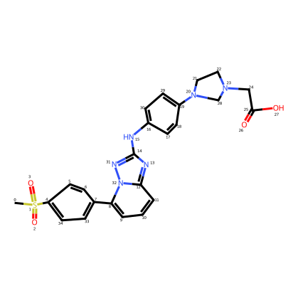 CS(=O)(=O)c1ccc(-c2cccc3nc(Nc4ccc(N5CCN(CC(=O)O)C5)cc4)nn23)cc1